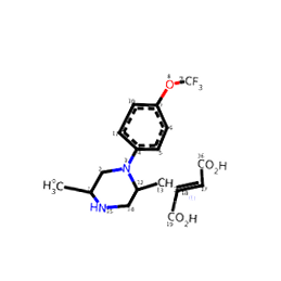 CC1CN(c2ccc(OC(F)(F)F)cc2)C(C)CN1.O=C(O)/C=C/C(=O)O